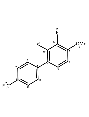 COc1ccc(-c2ccc(C(F)(F)F)cc2)c(C)c1F